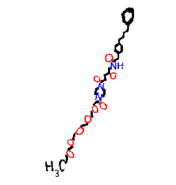 CCCOCCOCCOCCOCCOCC(=O)N1CCN(C(=O)CCC(=O)CNC(=O)Cc2ccc(CCCCc3ccccc3)cc2)CC1